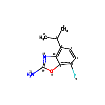 CC(C)c1ccc(F)c2oc(N)nc12